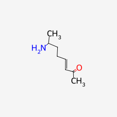 CC(=O)/C=C/CCC(C)N